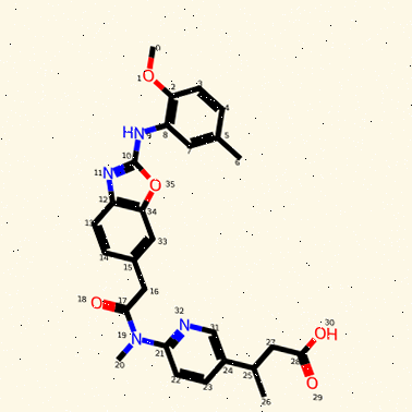 COc1ccc(C)cc1Nc1nc2ccc(CC(=O)N(C)c3ccc(C(C)CC(=O)O)cn3)cc2o1